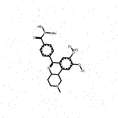 CCCCN(CCCC)C(=O)c1ccc(C2=NC3CCN(C)CC3c3cc(OCC)c(OCC)cc32)cc1.Cl